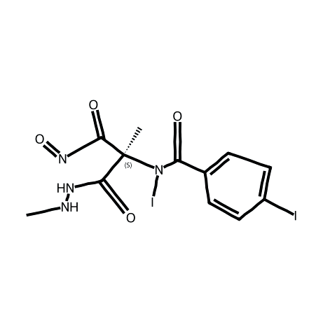 CNNC(=O)[C@@](C)(C(=O)N=O)N(I)C(=O)c1ccc(I)cc1